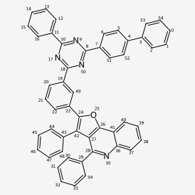 c1ccc(-c2ccc(-c3nc(-c4ccccc4)nc(-c4cccc(-c5oc6c(c(-c7ccccc7)nc7ccccc76)c5-c5ccccc5)c4)n3)cc2)cc1